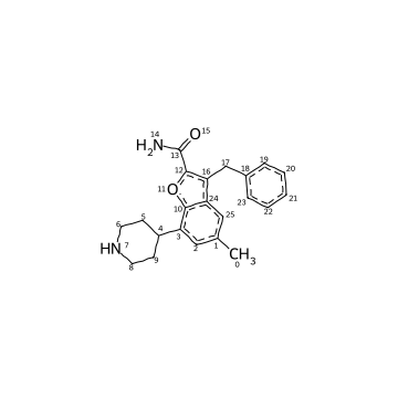 Cc1cc(C2CCNCC2)c2oc(C(N)=O)c(Cc3ccccc3)c2c1